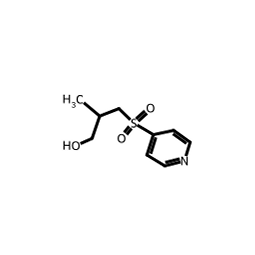 CC(CO)CS(=O)(=O)c1ccncc1